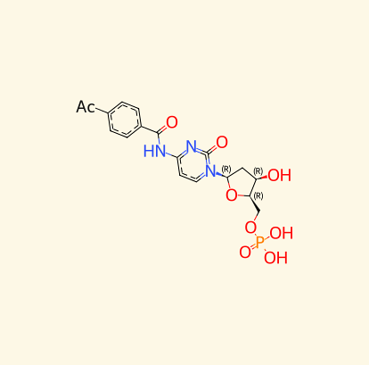 CC(=O)c1ccc(C(=O)Nc2ccn([C@H]3C[C@@H](O)[C@@H](COP(=O)(O)O)O3)c(=O)n2)cc1